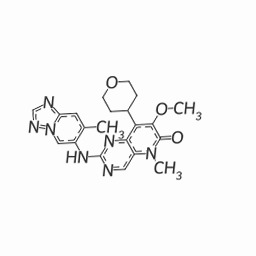 COc1c(C2CCOCC2)c2nc(Nc3cn4ncnc4cc3C)ncc2n(C)c1=O